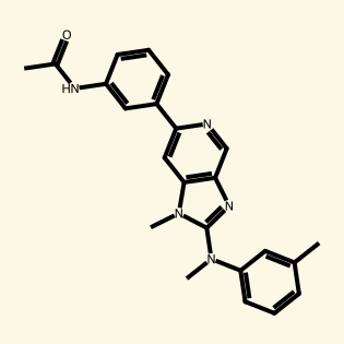 CC(=O)Nc1cccc(-c2cc3c(cn2)nc(N(C)c2cccc(C)c2)n3C)c1